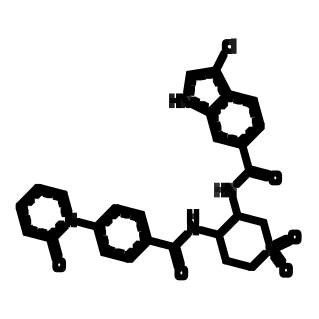 O=C(NC1CCS(=O)(=O)CC1NC(=O)c1ccc2c(Cl)c[nH]c2c1)c1ccc(-n2ccccc2=O)cc1